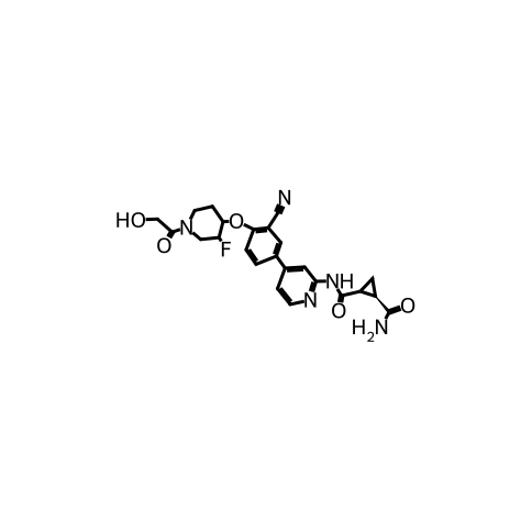 N#Cc1cc(-c2ccnc(NC(=O)C3C[C@H]3C(N)=O)c2)ccc1OC1CCN(C(=O)CO)CC1F